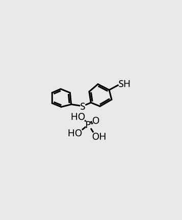 O=P(O)(O)O.Sc1ccc(Sc2ccccc2)cc1